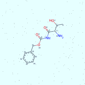 CC(O)C(N)C(=O)NC(=O)OCc1ccccc1